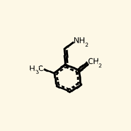 C=c1cccc(C)/c1=C/N